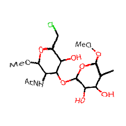 COOC1OC(OC2C(O)C(CCl)OC(OC)C2NC(C)=O)C(O)C(O)C1C